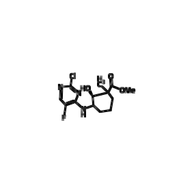 COC(=O)C1(C)CCCC(Nc2nc(Cl)ncc2F)[C@H]1O